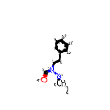 C=NN(C=O)CCc1ccccc1